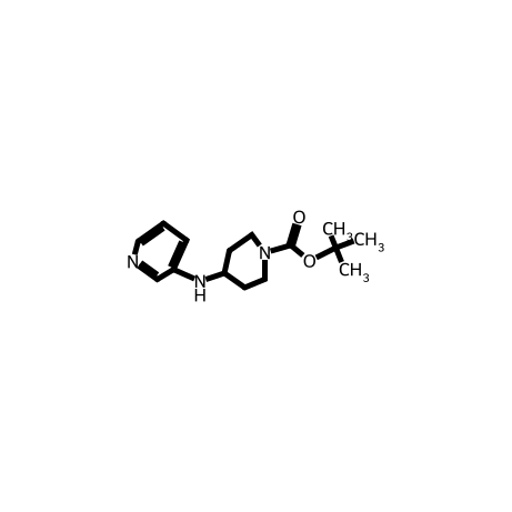 CC(C)(C)OC(=O)N1CCC(Nc2cccnc2)CC1